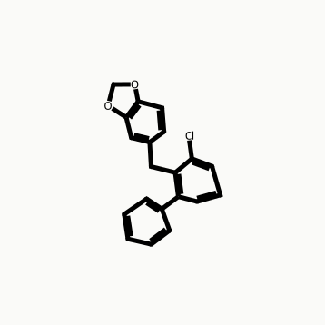 Clc1cc[c]c(-c2ccccc2)c1Cc1ccc2c(c1)OCO2